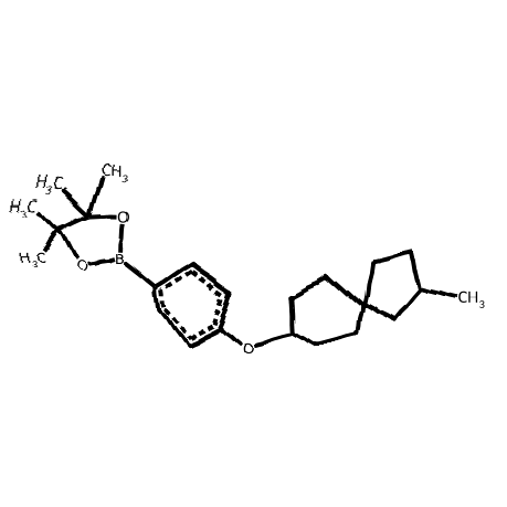 CC1CCC2(CCC(Oc3ccc(B4OC(C)(C)C(C)(C)O4)cc3)CC2)C1